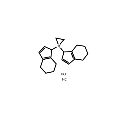 C1=C[CH]([Hf]2([CH]3C=CC4=C3CCCC4)[CH2][CH2]2)C2=C1CCCC2.Cl.Cl